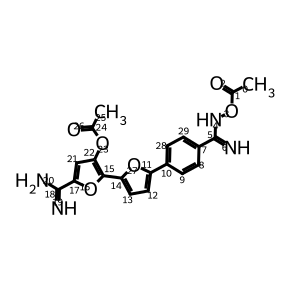 CC(=O)ONC(=N)c1ccc(-c2ccc(-c3oc(C(=N)N)cc3OC(C)=O)o2)cc1